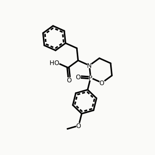 COc1ccc(P2(=O)OCCCN2C(Cc2ccccc2)C(=O)O)cc1